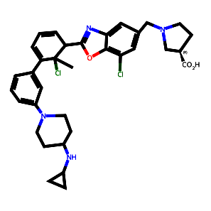 CC1(Cl)C(c2cccc(N3CCC(NC4CC4)CC3)c2)=CC=CC1c1nc2cc(CN3CC[C@@H](C(=O)O)C3)cc(Cl)c2o1